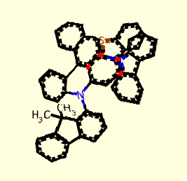 CC1(C)c2ccccc2-c2cccc(N(c3ccc4c(c3)sc3ccccc34)c3ccccc3-c3cc(-n4c5ccccc5c5ccccc54)cc4ccccc34)c21